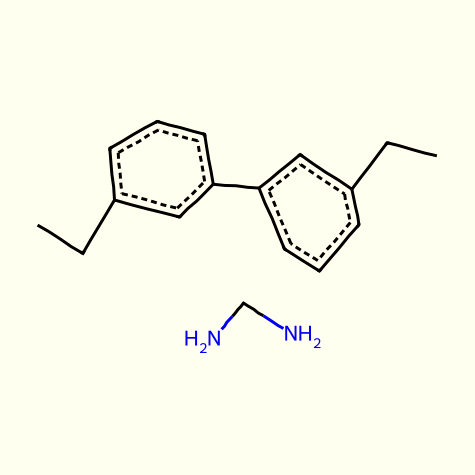 CCc1cccc(-c2cccc(CC)c2)c1.NCN